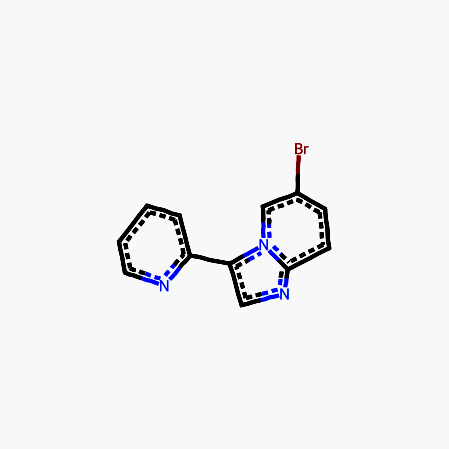 Brc1ccc2ncc(-c3ccccn3)n2c1